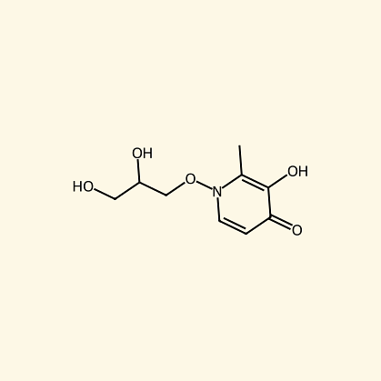 Cc1c(O)c(=O)ccn1OCC(O)CO